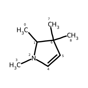 CC1N(C)C=CC1(C)C